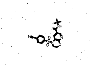 CC(C)(C)NC(=O)c1cnc2c(c1)N(S(=O)(=O)c1ccc(C#N)cc1)CCO2